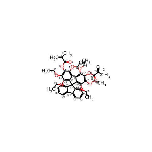 C=C(C)C(=O)Oc1c(OCC)cc(C2(c3cc(OCC)c(OC(=O)C(=C)C)c(OCC)c3OCC)c3ccccc3-c3ccccc32)c(OCC)c1OCC